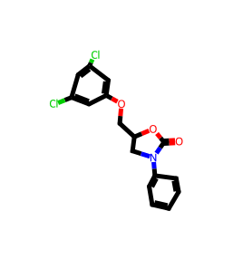 O=C1OC(COc2cc(Cl)cc(Cl)c2)CN1c1ccccc1